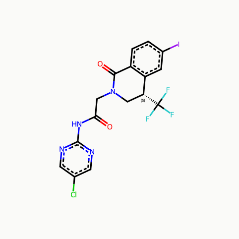 O=C(CN1C[C@@H](C(F)(F)F)c2cc(I)ccc2C1=O)Nc1ncc(Cl)cn1